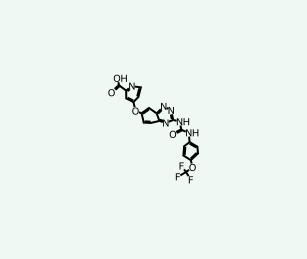 O=C(Nc1ccc(OC(F)(F)F)cc1)Nc1nnc2cc(Oc3ccnc(C(=O)O)c3)ccc2n1